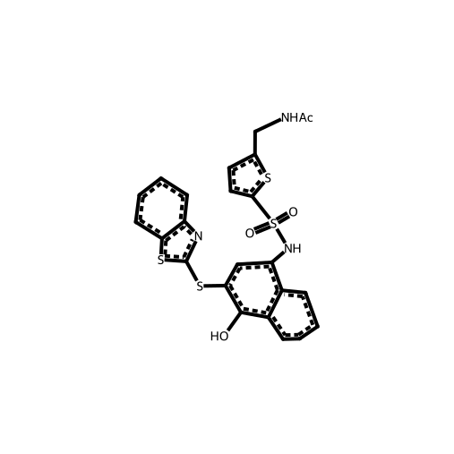 CC(=O)NCc1ccc(S(=O)(=O)Nc2cc(Sc3nc4ccccc4s3)c(O)c3ccccc23)s1